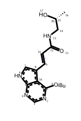 CC(C)COc1ncnc2[nH]cc(/C=C/C(=O)NC[C@@H](C)O)c12